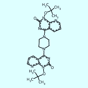 CC(C)(C)On1c(=O)nc(N2CCN(c3nc(=O)n(OC(C)(C)C)c4ncccc34)CC2)c2cccnc21